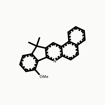 COc1cccc2c1-c1nc3ccc4ccccc4c3cc1C2(C)C